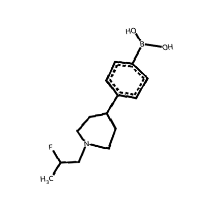 CC(F)CN1CCC(c2ccc(B(O)O)cc2)CC1